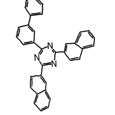 c1ccc(-c2cccc(-c3nc(-c4ccc5ccccc5c4)nc(-c4ccc5ccccc5c4)n3)c2)cc1